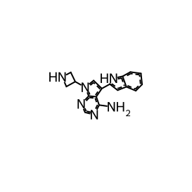 Nc1ncnc2c1c(-c1cc3ccccc3[nH]1)cn2C1CNC1